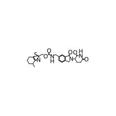 CC1CCCc2sc(COC(=O)NCc3ccc4c(c3)C(=O)N(C3CCC(=O)NC3=O)C4)nc21